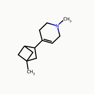 CN1CC=C(C2CC3(C)CC2C3)CC1